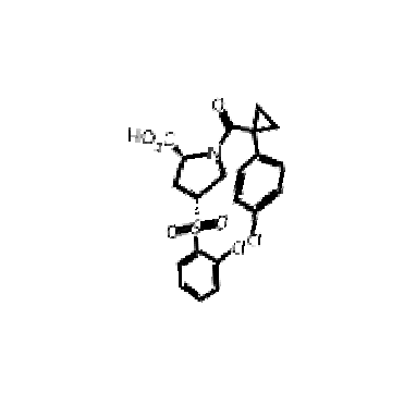 O=C(O)[C@@H]1C[C@@H](S(=O)(=O)c2ccccc2Cl)CN1C(=O)C1(c2ccc(Cl)cc2)CC1